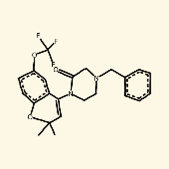 CC1(C)C=C(N2CCN(Cc3ccccc3)CC2=O)c2cc(OC(F)(F)F)ccc2O1